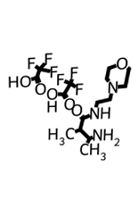 CC(N)C(C)C(=O)NCCN1CCOCC1.O=C(O)C(F)(F)F.O=C(O)C(F)(F)F